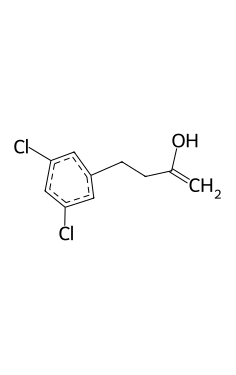 C=C(O)CCc1cc(Cl)cc(Cl)c1